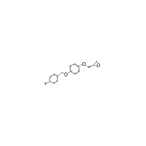 Fc1ccc(COc2ccc(OC[C@H]3CO3)cc2)cc1